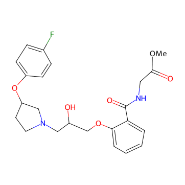 COC(=O)CNC(=O)c1ccccc1OCC(O)CN1CCC(Oc2ccc(F)cc2)C1